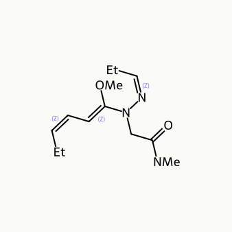 CC/C=C\C=C(/OC)N(CC(=O)NC)/N=C\CC